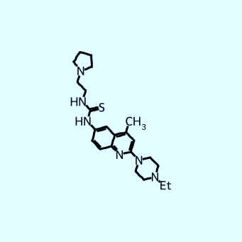 CCN1CCN(c2cc(C)c3cc(NC(=S)NCCN4CCCC4)ccc3n2)CC1